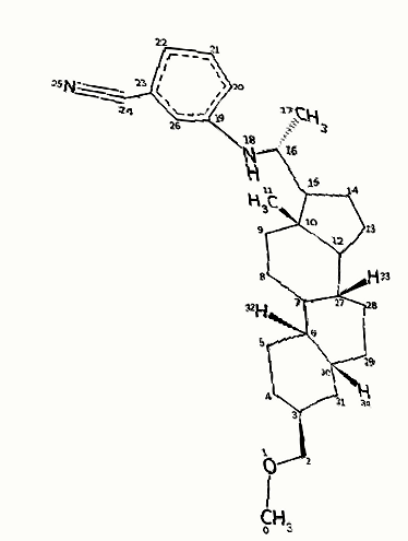 COC[C@H]1CC[C@@H]2C3CC[C@@]4(C)C(CCC4[C@@H](C)Nc4cccc(C#N)c4)[C@@H]3CC[C@@H]2C1